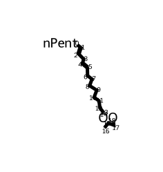 CCCCC/C=C/C/C=C/CCCCCCCCOC1(C)CO1